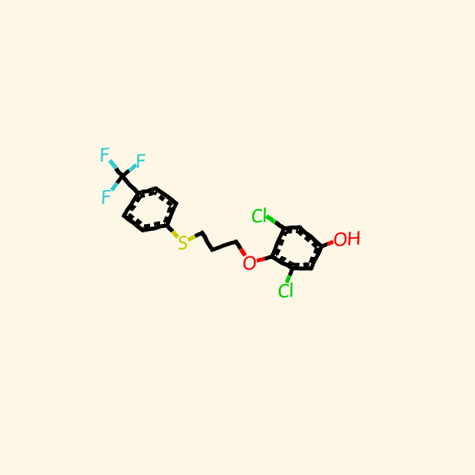 Oc1cc(Cl)c(OCCCSc2ccc(C(F)(F)F)cc2)c(Cl)c1